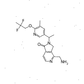 Cc1cc(C(C)N2Cc3c(ccnc3CN)C2=O)cnc1OCC(C)(F)F